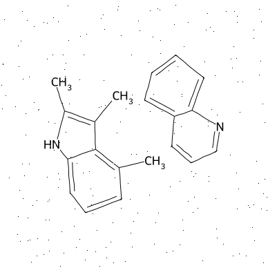 Cc1[nH]c2cccc(C)c2c1C.c1ccc2ncccc2c1